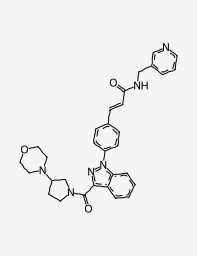 O=C(/C=C/c1ccc(-n2nc(C(=O)N3CCC(N4CCOCC4)C3)c3ccccc32)cc1)NCc1cccnc1